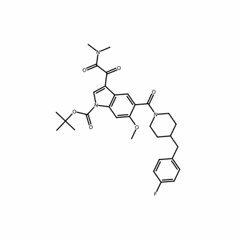 COc1cc2c(cc1C(=O)N1CCC(Cc3ccc(F)cc3)CC1)c(C(=O)C(=O)N(C)C)cn2C(=O)OC(C)(C)C